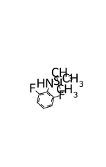 C[Si](C)(C)Nc1c(F)cccc1F